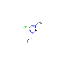 C=Cn1cc[n+](CCC)c1.[Cl-]